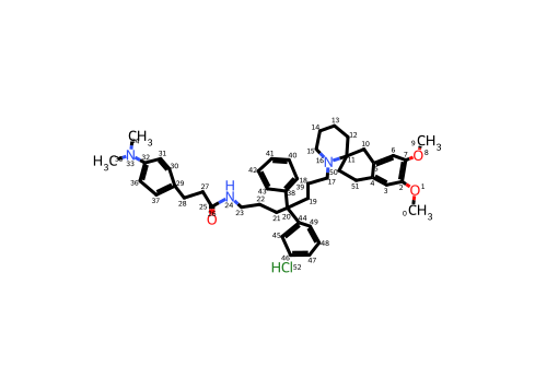 COc1cc2c(cc1OC)CC1(CCCCN1CCCC(CCCNC(=O)CCc1ccc(N(C)C)cc1)(c1ccccc1)c1ccccc1)CC2.Cl